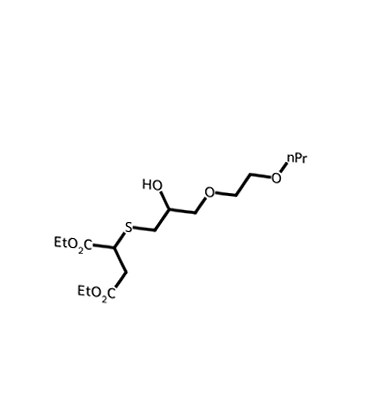 CCCOCCOCC(O)CSC(CC(=O)OCC)C(=O)OCC